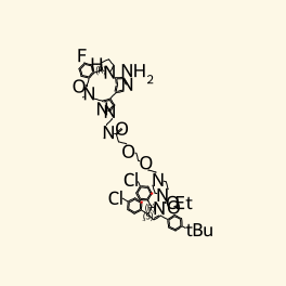 CCOc1cc(C(C)(C)C)ccc1C1=C[C@@](C)(c2ccc(Cl)cc2)[C@@H](c2ccc(Cl)cc2)N1C(=O)N1CCN(CCOCCOCCC(=O)N(C)CCn2cc3c(n2)CN(C)C(=O)c2ccc(F)cc2[C@H]2CCCN2c2cc-3cnc2N)CC1